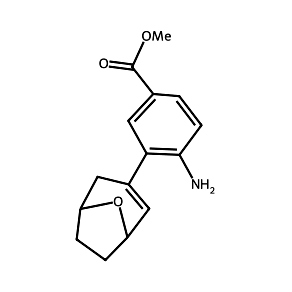 COC(=O)c1ccc(N)c(C2=CC3CCC(C2)O3)c1